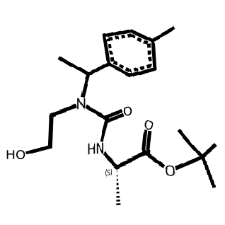 Cc1ccc(C(C)N(CCO)C(=O)N[C@@H](C)C(=O)OC(C)(C)C)cc1